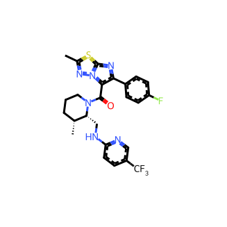 Cc1nn2c(C(=O)N3CCC[C@@H](C)[C@H]3CNc3ccc(C(F)(F)F)cn3)c(-c3ccc(F)cc3)nc2s1